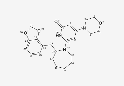 O=c1cc(N2CCOCC2)cc(N2CCCCCC2Cc2cccc3c2OCO3)[nH]1